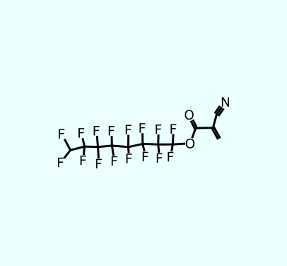 C=C(C#N)C(=O)OC(F)(F)C(F)(F)C(F)(F)C(F)(F)C(F)(F)C(F)(F)C(F)(F)C(F)F